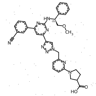 COC[C@@H](Nc1nc(-c2cccc(C#N)c2)cc(-c2cn(Cc3cccc(N4CCC(C(=O)O)C4)n3)nn2)n1)c1ccccc1